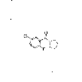 O=C(c1cc(Cl)ncc1F)C1CCCC1